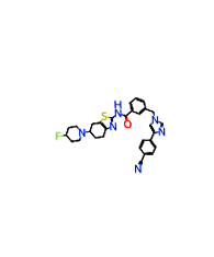 N#Cc1ccc(-c2cn(Cc3cccc(C(=O)Nc4nc5c(s4)CC(N4CCC(F)CC4)CC5)c3)cn2)cc1